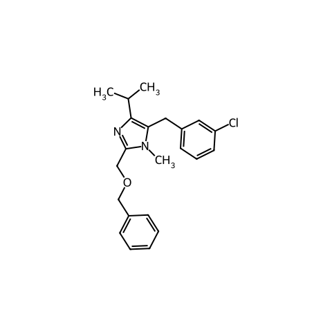 CC(C)c1nc(COCc2ccccc2)n(C)c1Cc1cccc(Cl)c1